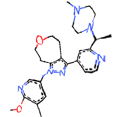 COc1ncc(-n2nc(-c3ccnc([C@H](C)N4CCN(C)CC4)c3)c3c2CCOCC3)cc1C